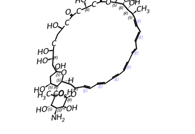 C[C@@H]1[C@H](O)[C@@H](C)/C=C/C=C/C=C/C=C/C=C/C=C/C=C/[C@H](O[C@@H]2O[C@H](C)[C@@H](O)[C@H](N)[C@@H]2O)C[C@@H]2O[C@](O)(C[C@@H](O)C(O)CCC(O)CC(=O)C[C@@H](O)CC(=O)O[C@H]1C)C[C@H](O)[C@H]2C(=O)O